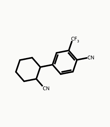 N#Cc1ccc(C2CCCCC2C#N)cc1C(F)(F)F